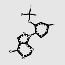 Fc1ccc(-n2ncc3c(Cl)ncnc32)c(OC(F)(F)F)c1